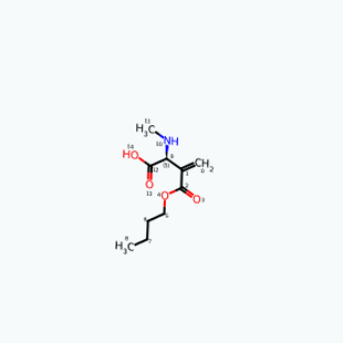 C=C(C(=O)OCCCC)[C@H](NC)C(=O)O